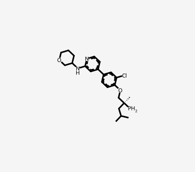 CC(C)C[C@](C)(P)COc1ccc(-c2ccnc(NC3CCCOC3)c2)cc1Cl